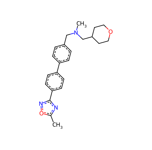 Cc1nc(-c2ccc(-c3ccc(CN(C)CC4CCOCC4)cc3)cc2)no1